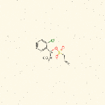 C=CCS(=O)(=O)O[C@@H](C(=O)O)c1ccccc1Cl